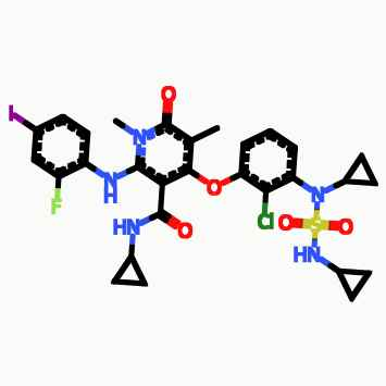 Cc1c(Oc2cccc(N(C3CC3)S(=O)(=O)NC3CC3)c2Cl)c(C(=O)NC2CC2)c(Nc2ccc(I)cc2F)n(C)c1=O